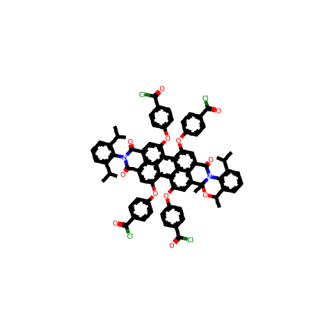 CC(C)c1cccc(C(C)C)c1N1C(=O)c2cc(Oc3ccc(C(=O)Cl)cc3)c3c4c(Oc5ccc(C(=O)Cl)cc5)cc5c6c(cc(Oc7ccc(C(=O)Cl)cc7)c(c7c(Oc8ccc(C(=O)Cl)cc8)cc(c2c37)C1=O)c64)C1(C)OC(C)c2cccc(C(C)C)c2N1C5=O